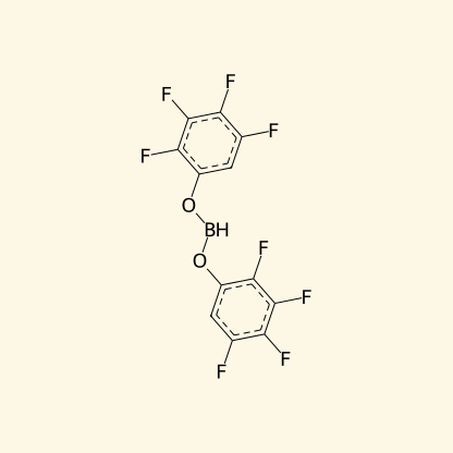 Fc1cc(OBOc2cc(F)c(F)c(F)c2F)c(F)c(F)c1F